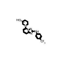 O[C@@H]1CCCN(c2cccc3nc(Nc4ccc(C(F)(F)F)cc4)nn23)C1